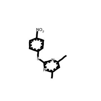 Cc1cc(C)nc(Sc2ccc([N+](=O)[O-])cc2)n1